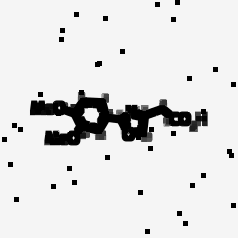 COc1ccc(-c2nc(CC(=O)O)co2)cc1OC